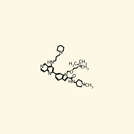 CN1CCC(NC(=O)c2cc3ccc(-c4cc(NCCCN5CCCCC5)c5cnccc5n4)cc3n2COCC[Si](C)(C)C)CC1